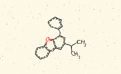 CC(C)c1cc(-c2ccccc2)c2oc3ccccc3c2c1